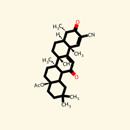 CC(=O)O[C@]12CCC(C)(C)CC1C1C(=O)C=C3[C@@]4(C)C=C(C#N)C(=O)[C@@H](C)[C@@H]4CC[C@@]3(C)[C@]1(C)CC2